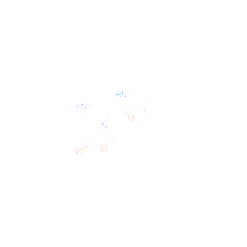 CC(NC(=O)C1CNCC2C(=O)OC(c3ccccc3)(c3ccccc3)N12)c1ccccc1